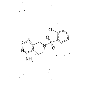 Nc1ncnc2c1CCN(S(=O)(=O)c1ccccc1Cl)C2